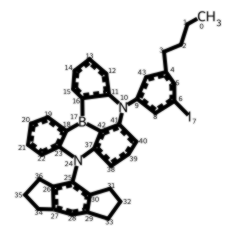 CCCCc1cc(I)cc(N2c3ccccc3B3c4ccccc4N(c4c5c(cc6c4CCC6)CCC5)c4cccc2c43)c1